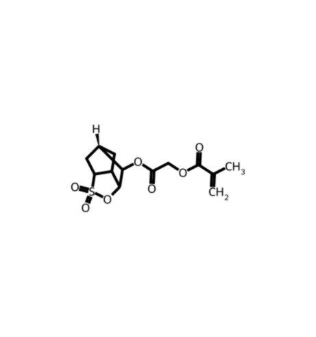 C=C(C)C(=O)OCC(=O)OC1C2OS(=O)(=O)C3C[C@@H]1CC23